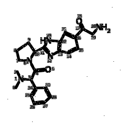 CN(C)[C@@H](C(=O)N1CCC[C@H]1c1nc2ccc(C(=O)CN)cc2[nH]1)c1ccccc1